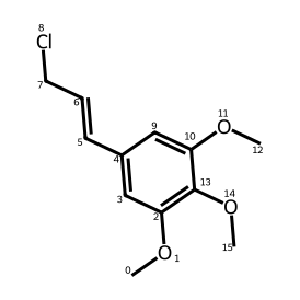 COc1cc(C=CCCl)cc(OC)c1OC